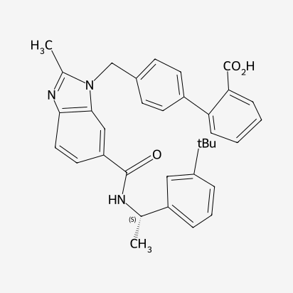 Cc1nc2ccc(C(=O)N[C@@H](C)c3cccc(C(C)(C)C)c3)cc2n1Cc1ccc(-c2ccccc2C(=O)O)cc1